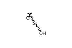 C=C(C)C(=O)SCCSCCSCCO